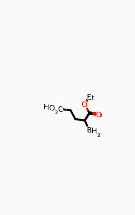 BC(CCC(=O)O)C(=O)OCC